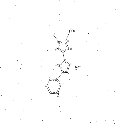 Cc1nc(-c2ccc(-c3cccnc3)s2)sc1C(=O)[O-].[Na+]